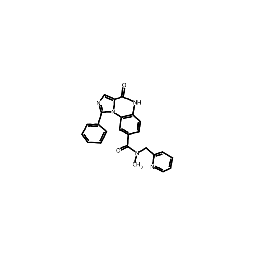 CN(Cc1ccccn1)C(=O)c1ccc2[nH]c(=O)c3cnc(-c4ccccc4)n3c2c1